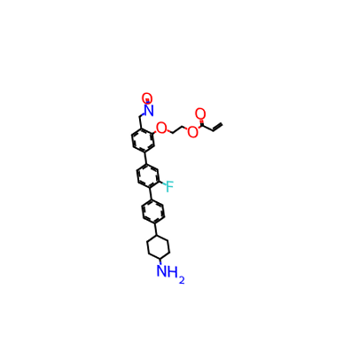 C=CC(=O)OCCOc1cc(-c2ccc(-c3ccc(C4CCC(N)CC4)cc3)c(F)c2)ccc1CN=O